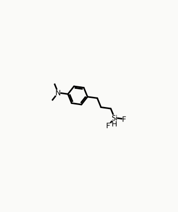 CN(C)c1ccc(CCC[SiH](F)F)cc1